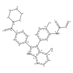 C=CC(=O)Nc1cc(-c2c(-c3ccc(C(=O)N4CCOCC4)cc3)[nH]c3nccc(Cl)c23)ccc1C